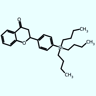 CCC[CH2][Sn]([CH2]CCC)([CH2]CCC)[c]1ccc(C2CC(=O)c3ccccc3O2)cc1